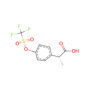 C[C@@H](C(=O)O)c1ccc(OS(=O)(=O)C(F)(F)F)cc1